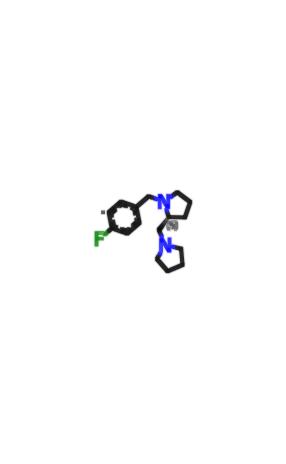 Fc1[c]cc(CN2CCC[C@H]2CN2CCCC2)cc1